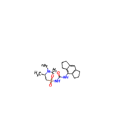 CCCN(C)C(C)CS(=O)(=O)NC(=O)Nc1c2c(cc3c1CCC3)CCC2